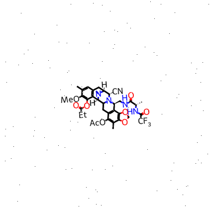 CCC(=O)Oc1c(OC)c(C)cc2c1[C@@H]1C3Cc4c(OC(C)=O)c(C)c5c(c4[C@H](CNC(=O)[C@H](C)NC(=O)C(F)(F)F)N3[C@@H](C#N)[C@H](C2)N1C)OCO5